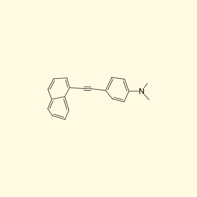 CN(C)c1ccc(C#Cc2cccc3ccccc23)cc1